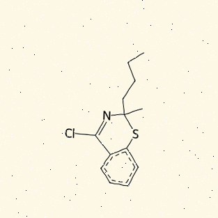 CCCCC1(C)N=C(Cl)c2ccccc2S1